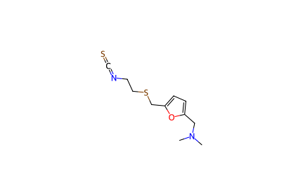 CN(C)Cc1ccc(CSCCN=C=S)o1